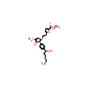 CCCCCC(O)c1ccc([C@H]2C(=O)C(C)=C[C@@H]2CCCc2ccc(C(=O)OC)s2)cc1